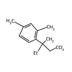 CCC(C)(CC(Cl)(Cl)Cl)c1ccc(C)cc1C